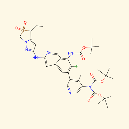 CCC1c2cc(Nc3cc4cc(-c5cncc(N(C(=O)OC(C)(C)C)C(=O)OC(C)(C)C)c5C)c(F)c(NC(=O)OC(C)(C)C)c4cn3)nn2CS1(=O)=O